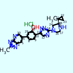 Cl.Cn1nc2cc(-c3ccc(-c4cnc(N5CCN[C@H](C6(C)CC6)C5)nn4)c(O)c3)cnc2n1